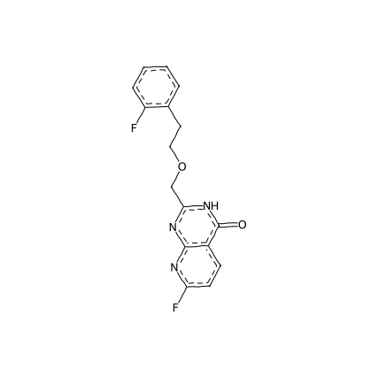 O=c1[nH]c(COCCc2ccccc2F)nc2nc(F)ccc12